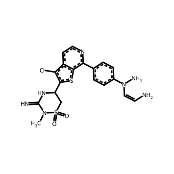 CN1C(=N)NC(c2sc3c(-c4ccc(N(N)/C=C\N)cc4)nccc3c2Cl)CS1(=O)=O